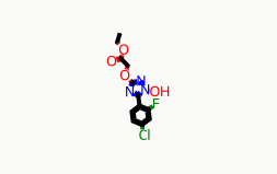 CCOC(=O)COc1nc(-c2ccc(Cl)cc2F)n(O)n1